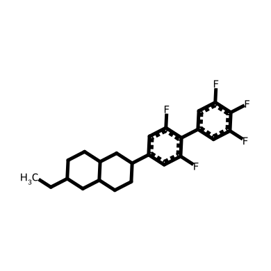 CCC1CCC2CC(c3cc(F)c(-c4cc(F)c(F)c(F)c4)c(F)c3)CCC2C1